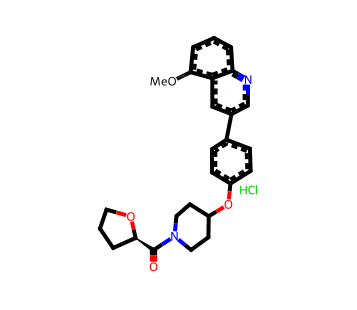 COc1cccc2ncc(-c3ccc(OC4CCN(C(=O)[C@H]5CCCO5)CC4)cc3)cc12.Cl